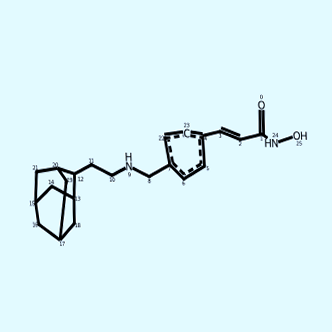 O=C(C=Cc1ccc(CNCCC2C3CC4CC(C3)CC2C4)cc1)NO